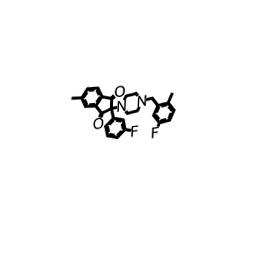 Cc1ccc2c(c1)C(=O)C(c1cccc(F)c1)(N1CCN(Cc3cc(F)ccc3C)CC1)C2=O